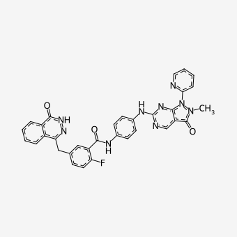 Cn1c(=O)c2cnc(Nc3ccc(NC(=O)c4cc(Cc5n[nH]c(=O)c6ccccc56)ccc4F)cc3)nc2n1-c1ccccn1